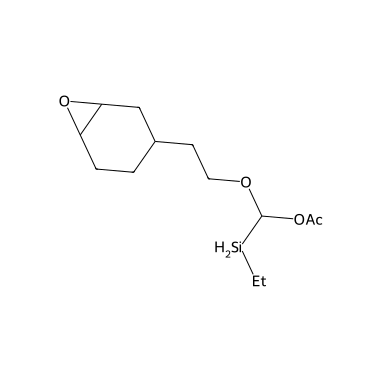 CC[SiH2]C(OCCC1CCC2OC2C1)OC(C)=O